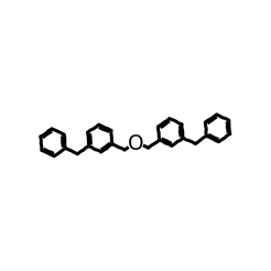 c1ccc(Cc2cccc(COCc3cccc(Cc4ccccc4)c3)c2)cc1